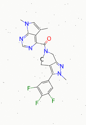 Cc1cn(C)c2ncnc(C(=O)N3CCc4c(nn(C)c4-c4cc(F)c(F)c(F)c4)C3)c12